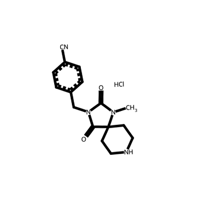 CN1C(=O)N(Cc2ccc(C#N)cc2)C(=O)C12CCNCC2.Cl